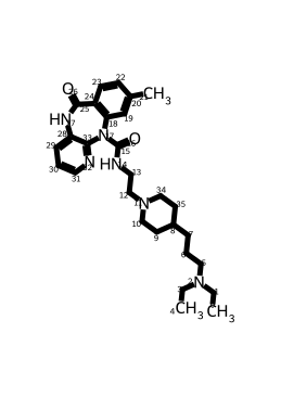 CCN(CC)CCCC1CCN(CCNC(=O)N2c3cc(C)ccc3C(=O)Nc3cccnc32)CC1